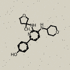 CC1(Nc2nc(-c3ccc(O)cc3)ccc2NC2CCOCC2)CCOC1